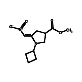 COC(=O)C1CC(=C[N+](=O)[O-])N(C2CCC2)C1